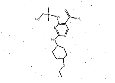 CCOC1CCC(Nc2ncc(C(N)=O)c(NC(C)(C)CO)n2)CC1